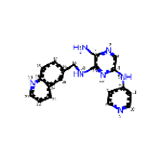 Nc1ncc(Nc2ccncc2)nc1NCc1ccc2ncccc2c1